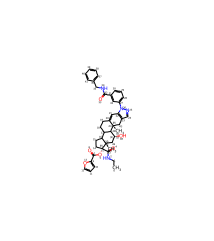 CCNC(=O)[C@@]1(OC(=O)c2ccco2)CCC2C3CCC4=Cc5c(cnn5-c5cccc(C(=O)NCc6ccccc6)c5)C[C@]4(C)C3[C@@H](O)C[C@@]21C